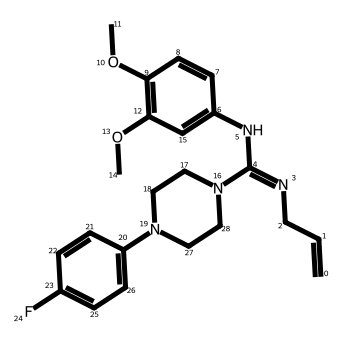 C=CC/N=C(/Nc1ccc(OC)c(OC)c1)N1CCN(c2ccc(F)cc2)CC1